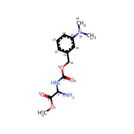 COC(=O)C(N)NC(=O)OCc1cccc(N(C)C)c1